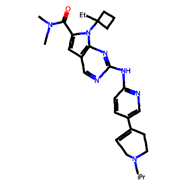 CCC1(n2c(C(=O)N(C)C)cc3cnc(Nc4ccc(C5=CCN(C(C)C)CC5)cn4)nc32)CCC1